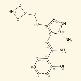 N/C(=C\c1c(OCC2CNC2)c[nH]c1N)c1ccccc1O